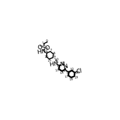 CCS(=O)(=O)N[C@H]1CC[C@H](CNc2ccc(-c3cccc(Cl)c3)nn2)CC1